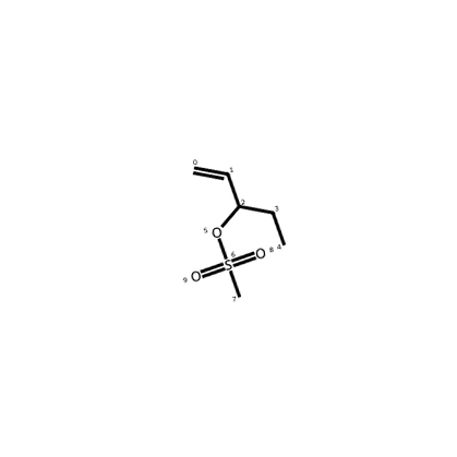 C=CC(CC)OS(C)(=O)=O